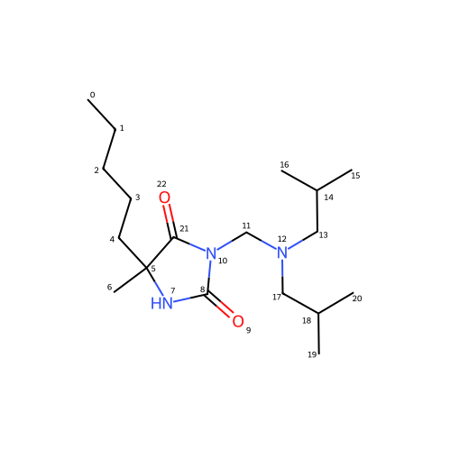 CCCCCC1(C)NC(=O)N(CN(CC(C)C)CC(C)C)C1=O